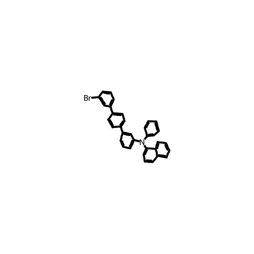 Brc1cccc(-c2ccc(-c3cccc(N(c4ccccc4)c4cccc5ccccc45)c3)cc2)c1